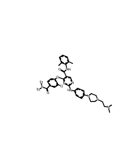 CCN(CC)C(=O)c1ccc(Oc2nc(Nc3ccc(N4CCN(CCN(C)C)CC4)cc3)ncc2C(=O)Nc2c(C)cccc2C)c(Cl)c1